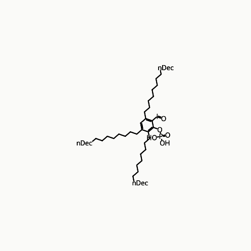 CCCCCCCCCCCCCCCCCCc1cc(CCCCCCCCCCCCCCCCCC)c(I=O)c(OP(=O)(O)O)c1CCCCCCCCCCCCCCCCCC